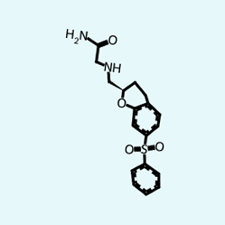 NC(=O)CNC[C@H]1CCc2ccc(S(=O)(=O)c3ccccc3)cc2O1